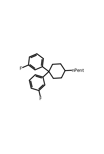 CCCCCC1CCC(c2cccc(F)c2)(c2cccc(F)c2)CC1